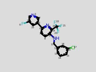 Fc1cncc(-c2ccc(NCc3cccc(Cl)c3)c(C(F)(F)F)n2)c1